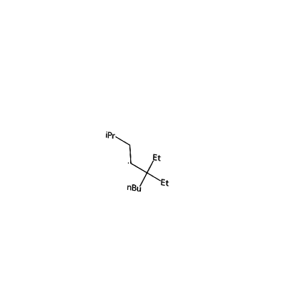 CCCCC([CH]CC(C)C)(CC)CC